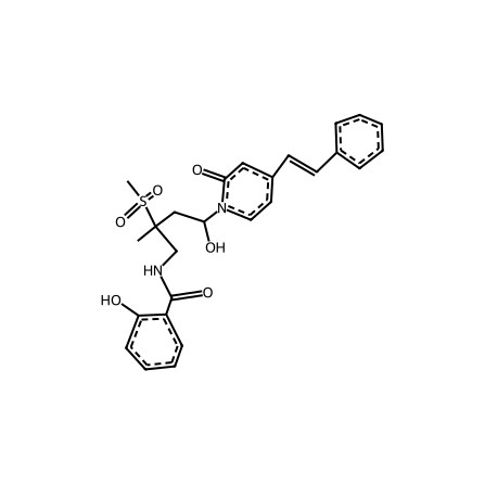 CC(CNC(=O)c1ccccc1O)(CC(O)n1ccc(C=Cc2ccccc2)cc1=O)S(C)(=O)=O